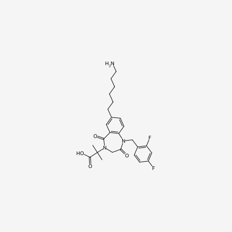 CC(C)(C(=O)O)N1CC(=O)N(Cc2ccc(F)cc2F)c2ccc(CCCCCCN)cc2C1=O